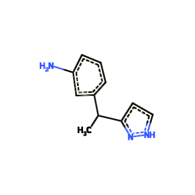 CC(c1cccc(N)c1)c1cc[nH]n1